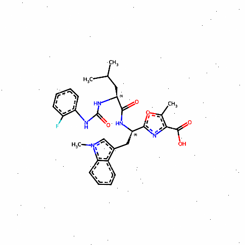 Cc1oc([C@@H](Cc2cn(C)c3ccccc23)NC(=O)[C@H](CC(C)C)NC(=O)Nc2ccccc2F)nc1C(=O)O